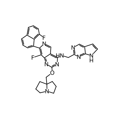 Fc1c(-c2cccc3cccc(F)c23)ncc2c(NCc3ncc4cc[nH]c4n3)nc(OCC34CCCN3CCC4)nc12